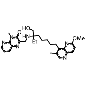 CCC(CO)(CCCCCc1c(F)cnc2ccc(OC)nc12)NCc1nc2cccnc2n(C)c1=O